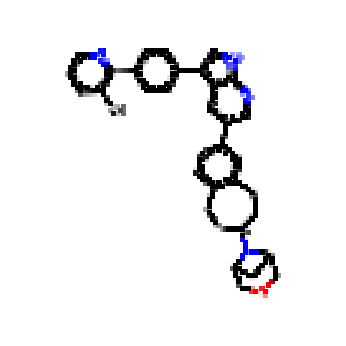 N#Cc1cccnc1-c1ccc(-c2c[nH]c3ncc(-c4ccc5c(c4)CC[C@@H](N4C6COCC4C6)CC5)cc23)cc1